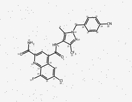 Cc1c(NC(=O)c2cc(C(N)=O)nc3c(F)cc(Cl)cc23)c(C(F)(F)F)nn1Cc1ccc(C#N)cc1